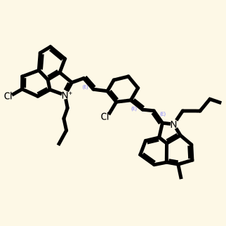 CCCCn1/c(=C/C=C2\CCCC(/C=C/C3=[N+](CCCC)c4cc(Cl)cc5cccc3c45)=C2Cl)c2cccc3c(C)ccc1c32